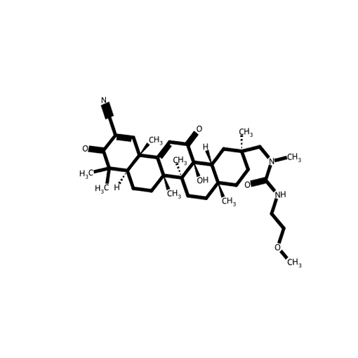 COCCNC(=O)N(C)C[C@@]1(C)CC[C@]2(C)CC[C@@]3(C)[C@]4(C)CC[C@H]5C(C)(C)C(=O)C(C#N)=C[C@]5(C)C4=CC(=O)[C@]3(O)[C@@H]2C1